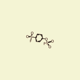 O=S(=O)(F)Oc1ccc(S(=O)(=O)F)cc1